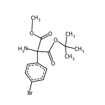 COC(=O)C(N)(C(=O)OC(C)(C)C)c1ccc(Br)cc1